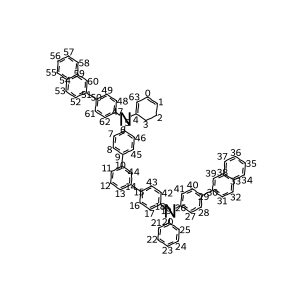 C1=CCCC(N(c2ccc(-c3cccc(-c4ccc(N(c5ccccc5)c5ccc(-c6ccc7ccccc7c6)cc5)cc4)c3)cc2)c2ccc(-c3ccc4ccccc4c3)cc2)=C1